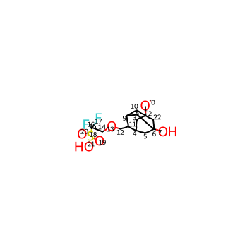 COC12CC3CC(O)(CC(C1)C3COCC(F)(F)S(=O)(=O)O)C2